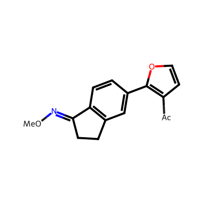 CON=C1CCc2cc(-c3occc3C(C)=O)ccc21